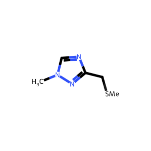 CSCc1ncn(C)n1